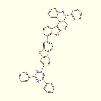 c1ccc(-c2nc(-c3ccccc3)nc(-c3ccc4c(c3)oc3cc(-c5cccc6c5oc5ccc7c(-c8ccccc8)nc8ccccc8c7c56)ccc34)n2)cc1